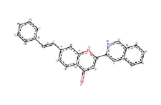 O=c1cc(-c2cc3ccccc3cn2)oc2cc(/C=C/c3ccccc3)ccc12